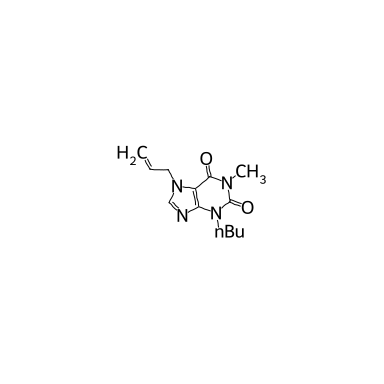 C=CCn1cnc2c1c(=O)n(C)c(=O)n2CCCC